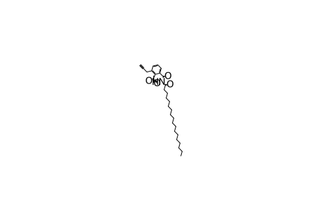 C#CCc1cccc(C(=O)NC(=O)CCCCCCCCCCCCCCCCC)c1I(=O)=O